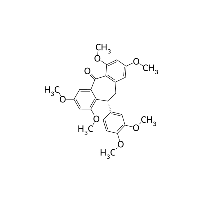 COc1cc2c(c(OC)c1)C(=O)c1cc(OC)cc(OC)c1[C@@H](c1ccc(OC)c(OC)c1)C2